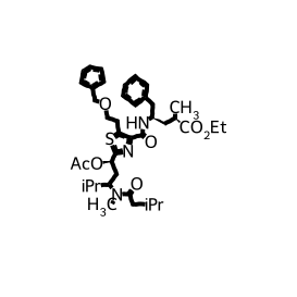 CCOC(=O)[C@@H](C)C[C@H](Cc1ccccc1)NC(=O)c1nc([C@@H](CC(C(C)C)N(C)C(=O)CC(C)C)OC(C)=O)sc1CCOCc1ccccc1